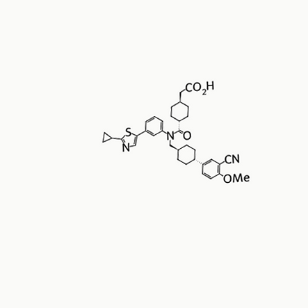 COc1ccc([C@H]2CC[C@H](CN(c3cccc(-c4cnc(C5CC5)s4)c3)C(=O)[C@H]3CC[C@H](CC(=O)O)CC3)CC2)cc1C#N